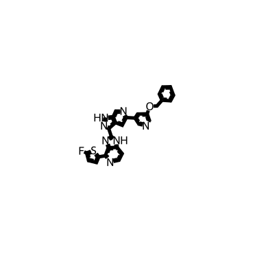 Fc1ccc(-c2nccc3[nH]c(-c4n[nH]c5cnc(-c6cncc(OCc7ccccc7)c6)cc45)nc23)s1